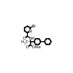 COC(=O)[C@@](C)(NC(=O)c1cccc(Br)n1)c1ccc(-c2ccccc2)cc1